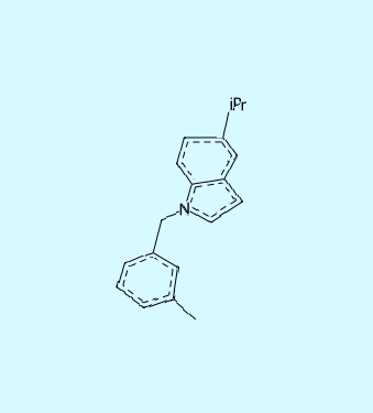 Cc1cccc(Cn2ccc3cc(C(C)C)ccc32)c1